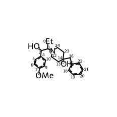 CCC(C(O)c1ccc(OC)cc1)N1CCC(O)(Cc2ccccc2)CC1